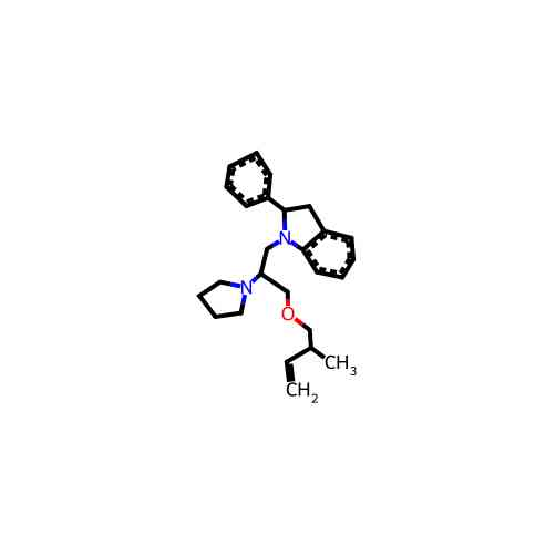 C=CC(C)COCC(CN1c2ccccc2CC1c1ccccc1)N1CCCC1